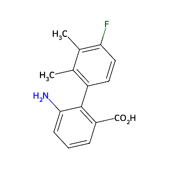 Cc1c(F)ccc(-c2c(N)cccc2C(=O)O)c1C